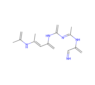 C=C(C)N/C(C)=C/C(=C)NC(=C)/N=C(\C)NC(=C)C=N